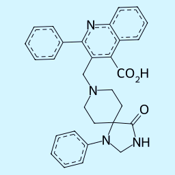 O=C(O)c1c(CN2CCC3(CC2)C(=O)NCN3c2ccccc2)c(-c2ccccc2)nc2ccccc12